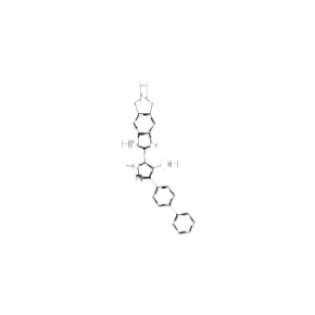 Cn1nc(-c2ccc(-c3ccccc3)cc2)c(O)c1-c1nc2cc3c(cc2[nH]1)CNC3